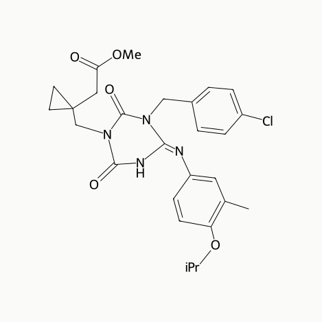 COC(=O)CC1(Cn2c(=O)[nH]/c(=N\c3ccc(OC(C)C)c(C)c3)n(Cc3ccc(Cl)cc3)c2=O)CC1